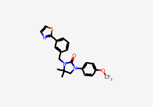 CC1(C)CN(c2ccc(OC(F)(F)F)cc2)C(=O)N1Cc1cccc(-c2nccs2)c1